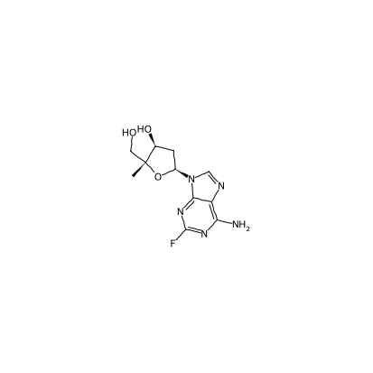 C[C@]1(CO)O[C@H](n2cnc3c(N)nc(F)nc32)C[C@@H]1O